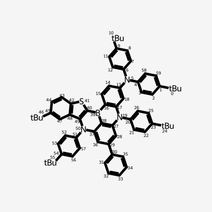 CC(C)(C)c1ccc(N(c2ccc(C(C)(C)C)cc2)c2ccc3c(c2)N(c2ccc(C(C)(C)C)cc2)c2cc(-c4ccccc4)cc4c2B3c2sc3ccc(C(C)(C)C)cc3c2N4c2ccc(C(C)(C)C)cc2)cc1